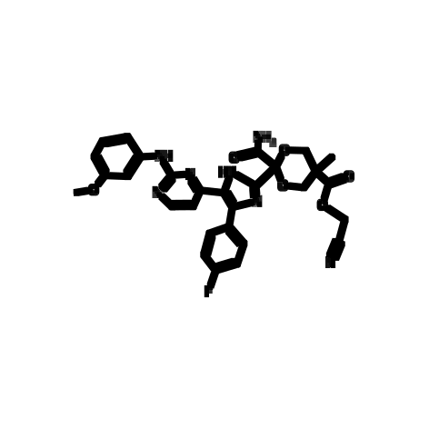 COc1cccc(Nc2nccc(-c3[nH]c(C4(C(N)=O)OCC(C)(C(=O)OCC#N)CO4)nc3-c3ccc(F)cc3)n2)c1